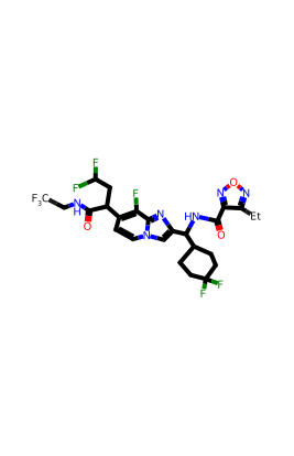 CCc1nonc1C(=O)NC(c1cn2ccc(C(CC(F)F)C(=O)NCC(F)(F)F)c(F)c2n1)C1CCC(F)(F)CC1